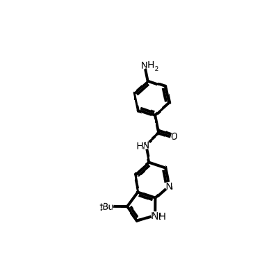 CC(C)(C)c1c[nH]c2ncc(NC(=O)c3ccc(N)cc3)cc12